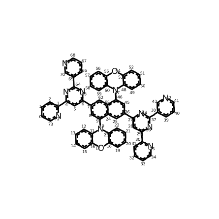 c1ccc(-c2cc(-c3cc(N4c5ccccc5Oc5ccccc54)c4cc(-c5cc(-c6ccccn6)nc(-c6cccnc6)n5)cc(N5c6ccccc6Oc6ccccc65)c4c3)nc(-c3cccnc3)n2)nc1